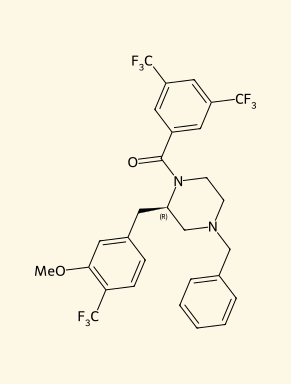 COc1cc(C[C@@H]2CN(Cc3ccccc3)CCN2C(=O)c2cc(C(F)(F)F)cc(C(F)(F)F)c2)ccc1C(F)(F)F